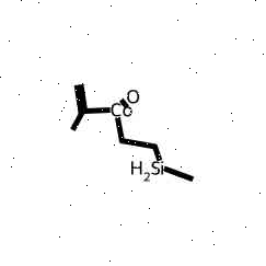 C=[C](C)[Co](=[O])[CH2]C[SiH2]C